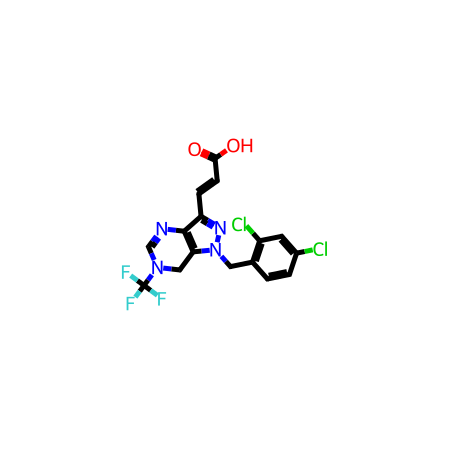 O=C(O)C=Cc1nn(Cc2ccc(Cl)cc2Cl)c2c1N=CN(C(F)(F)F)C2